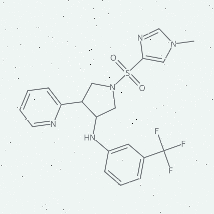 Cn1cnc(S(=O)(=O)N2CC(Nc3cccc(C(F)(F)F)c3)C(c3ccccn3)C2)c1